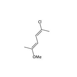 CO/C(C)=C/C=C(\C)Cl